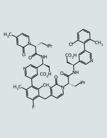 Cc1ccn([C@H](CC(C)C)C(=O)N[C@@H](CC(=O)O)c2cncc(-c3c(C)cc(F)c(Cc4ccn([C@@H](CC(C)C)C(=O)N[C@@H](CC(=O)O)c5cncc(-c6c(C)cccc6Cl)c5)c(=O)c4)c3C)c2)c(=O)c1